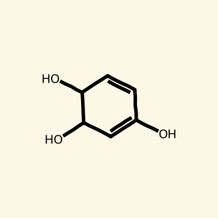 OC1=CC(O)C(O)C=C1